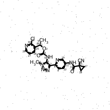 C[C@@H](OC(=O)Nc1c(-c2ccc(NC(=O)C3(C#N)CC3)cn2)nnn1C)c1cccnc1Cl